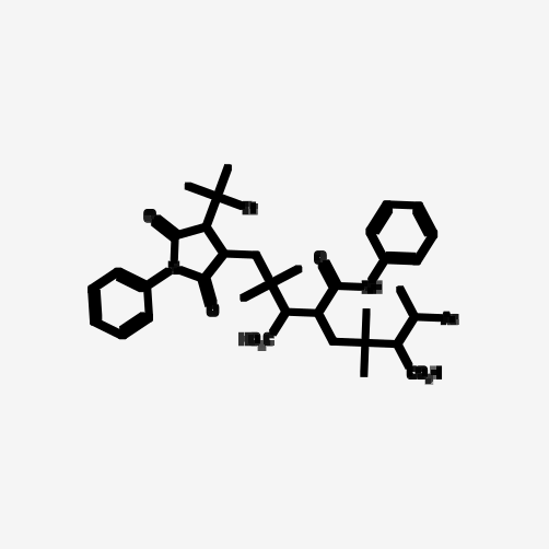 CCC(C)(C)C1C(=O)N(c2ccccc2)C(=O)C1CC(C)(C)C(C(=O)O)C(CC(C)(C)C(C(=O)O)C(C)C(C)=O)C(=O)Nc1ccccc1